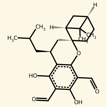 CC(C)C[C@H]1C[C@]2(CC[C@@H]3C[C@H]2C3(C)C)Oc2c(C=O)c(O)c(C=O)c(O)c21